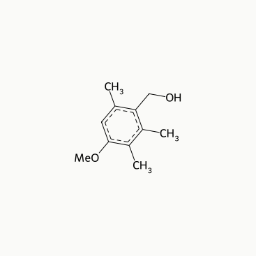 COc1cc(C)c(CO)c(C)c1C